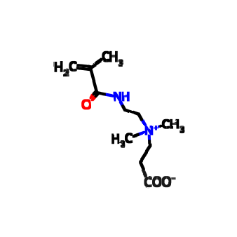 C=C(C)C(=O)NCC[N+](C)(C)CCC(=O)[O-]